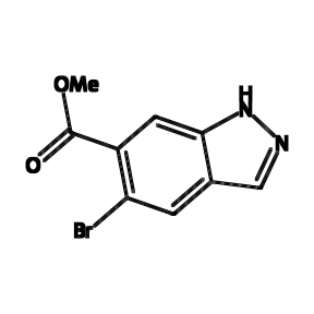 COC(=O)c1cc2[nH]ncc2cc1Br